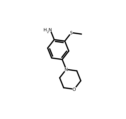 CSc1cc(N2CCOCC2)ccc1N